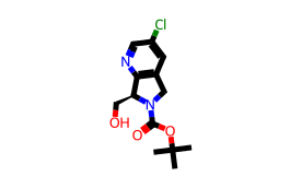 CC(C)(C)OC(=O)N1Cc2cc(Cl)cnc2[C@@H]1CO